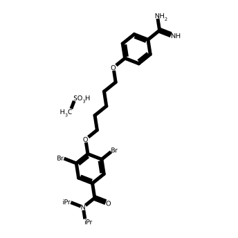 CC(C)N(C(=O)c1cc(Br)c(OCCCCCOc2ccc(C(=N)N)cc2)c(Br)c1)C(C)C.CS(=O)(=O)O